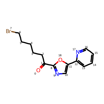 O=C(CCCCCBr)c1ncc(-c2ccccn2)o1